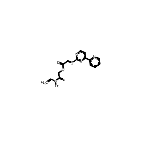 C=CN(CC)C(=O)COC(=O)CSc1nccc(-c2ccccn2)n1